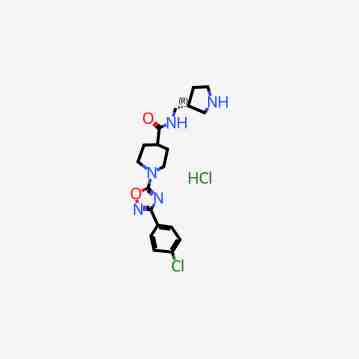 Cl.O=C(NC[C@@H]1CCNC1)C1CCN(c2nc(-c3ccc(Cl)cc3)no2)CC1